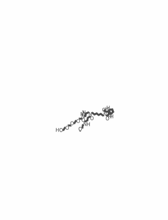 COCCNC(=O)CCC(=O)N(CCCCCCN1C(=O)[C@@H]2[C@H](C1=O)[C@H]1C=C[C@@H]2C1)Cc1cn(CCOCCOCCOCCO)nn1